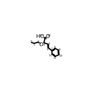 CCCO[C@H](C=Cc1ccccc1)C(=O)O